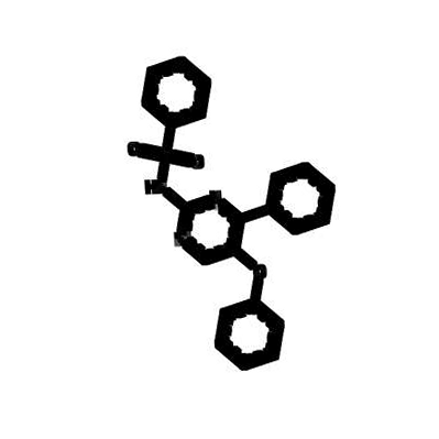 O=S(=O)(Nc1ncc(Oc2ccccc2)c(-c2ccccc2)n1)c1ccccc1